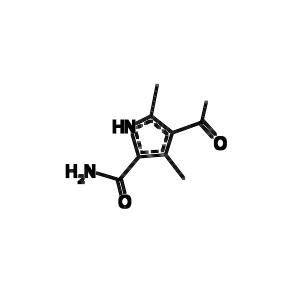 CC(=O)c1c(C)[nH]c(C(N)=O)c1C